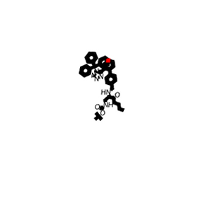 CCCCC(=O)C(CNC(=O)OC(C)(C)C)NCc1ccc(-c2ccccc2-c2nnnn2C(c2ccccc2)(c2ccccc2)c2ccccc2)cc1